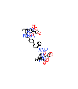 COC(=O)NC(C(=O)N1[C@@H]2C[C@@H]2C[C@H]1c1nc(-c2cccc3c(-c4ccc(-c5cnc([C@@H]6C[C@H]7C[C@H]7N6C(=O)[C@@H](NC(=O)OC)C6CCOCC6)[nH]5)cc4)cccc23)c[nH]1)C1CCOCC1